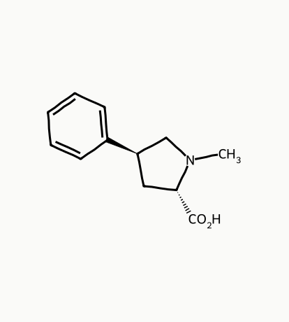 CN1C[C@H](c2ccccc2)C[C@H]1C(=O)O